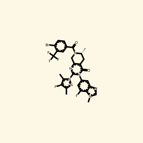 Cc1nn(-c2nc3c(c(=O)n2-c2cc(F)c4c(c2)ncn4C)C[C@@H](C)N(C(=O)c2ccc(Br)c(C(F)(F)F)c2)C3)c(C)c1F